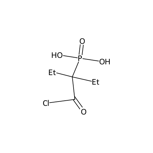 CCC(CC)(C(=O)Cl)P(=O)(O)O